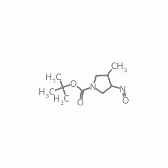 CC1CN(C(=O)OC(C)(C)C)CC1N=O